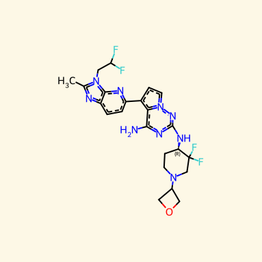 Cc1nc2ccc(-c3ccn4nc(N[C@@H]5CCN(C6COC6)CC5(F)F)nc(N)c34)nc2n1CC(F)F